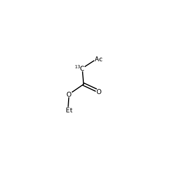 CCOC(=O)[13CH2]C([13CH3])=O